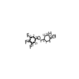 Fc1cc(OCC2CC[SiH](Cl)CC2)cc(F)c1F